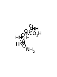 NCc1ccc2[nH]c(Cc3nc4cc(C(=O)N[C@H](Cc5c[nH]c6ccccc56)C(=O)O)ccc4[nH]3)nc2c1